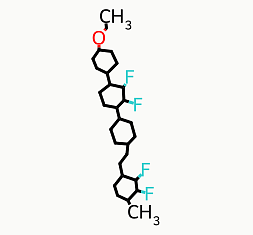 CCOC1CCC(C2CCC(C3CCC(CCC4CCC(C)C(F)C4F)CC3)C(F)C2F)CC1